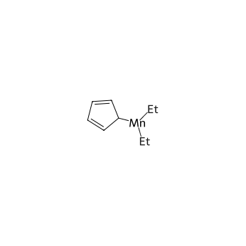 C[CH2][Mn]([CH2]C)[CH]1C=CC=C1